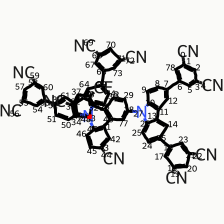 N#Cc1cc(C#N)cc(-c2ccc3c(c2)c2cc(-c4cc(C#N)cc(C#N)c4)ccc2n3-c2ccc(-c3ccc(C#N)cc3C(F)(F)F)c(-c3cc(C#N)ccc3-n3c4ccc(-c5cc(C#N)cc(C#N)c5)cc4c4cc(-c5cc(C#N)cc(C#N)c5)ccc43)c2)c1